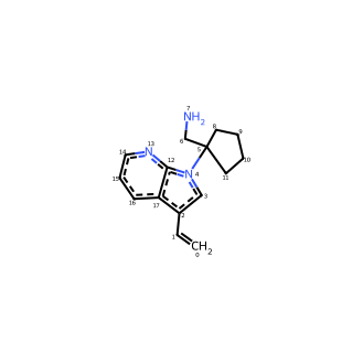 C=Cc1cn(C2(CN)CCCC2)c2ncccc12